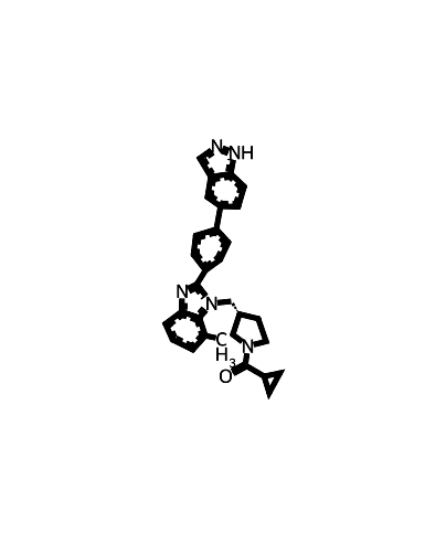 Cc1cccc2nc(-c3ccc(-c4ccc5[nH]ncc5c4)cc3)n(C[C@@H]3CCN(C(=O)C4CC4)C3)c12